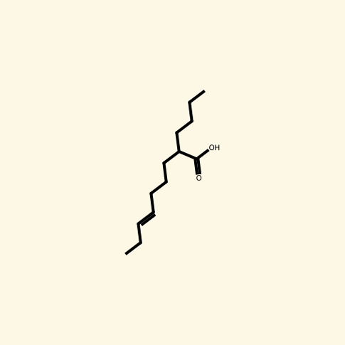 CC/C=C/CCCC(CCCC)C(=O)O